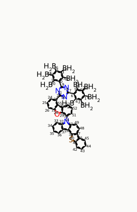 Bc1c(B)c(B)c(-c2nc(-c3c(B)c(B)c(B)c(B)c3B)nc(-c3cccc4oc5c(-n6c7ccccc7c7c8sc9ccccc9c8ccc76)cccc5c34)n2)c(B)c1B